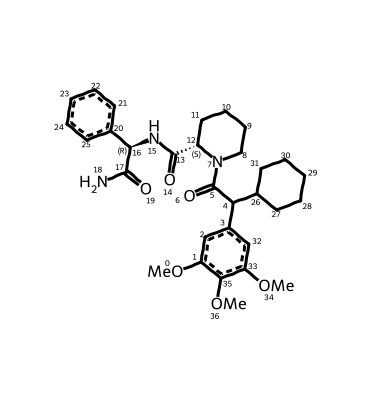 COc1cc(C(C(=O)N2CCCC[C@H]2C(=O)N[C@@H](C(N)=O)c2ccccc2)C2CCCCC2)cc(OC)c1OC